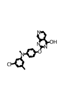 Cc1cc(Cl)cc(N(C)c2ccc(Oc3nc(O)c4ccncc4n3)cc2)c1